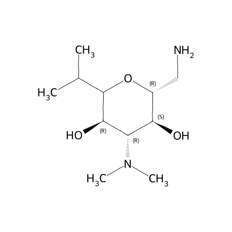 CC(C)C1O[C@H](CN)[C@@H](O)[C@H](N(C)C)[C@H]1O